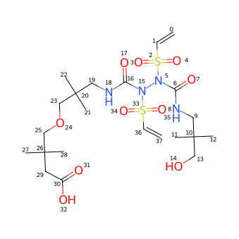 C=CS(=O)(=O)N(C(=O)NCC(C)(C)CO)N(C(=O)NCC(C)(C)COCC(C)(C)CC(=O)O)S(=O)(=O)C=C